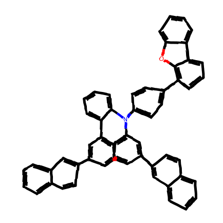 c1cc(-c2ccc3ccccc3c2)cc(-c2ccccc2N(c2ccc(-c3cccc4c3oc3ccccc34)cc2)c2cccc(-c3ccc4ccccc4c3)c2)c1